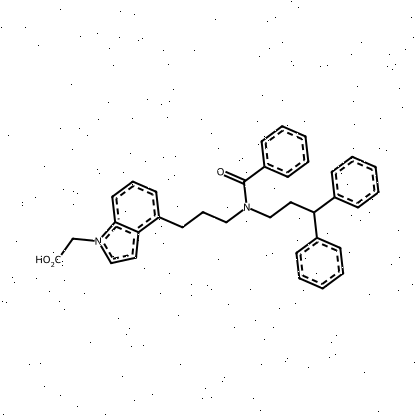 O=C(O)Cn1ccc2c(CCCN(CCC(c3ccccc3)c3ccccc3)C(=O)c3ccccc3)cccc21